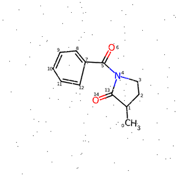 CC1CCN(C(=O)c2ccccc2)C1=O